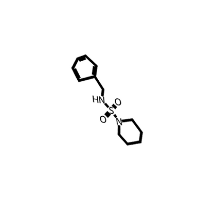 O=S(=O)(NCc1ccccc1)N1CCCCC1